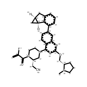 C=C(F)C(=O)N1CCN(c2nc(OC[C@@H]3CCCN3C)nc3cc(-c4cccc5c4[C@H]4C[C@H]4C5)ccc23)C[C@@H]1CC#N